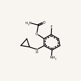 NC(=O)Oc1c(F)ccc(N)c1NC1CC1